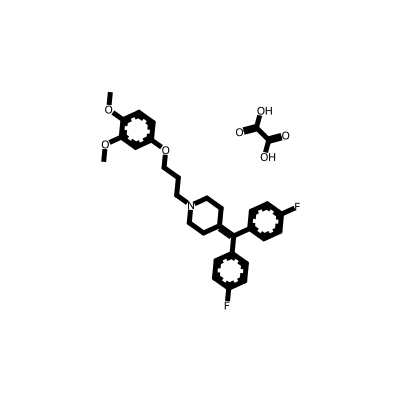 COc1ccc(OCCCN2CCC(=C(c3ccc(F)cc3)c3ccc(F)cc3)CC2)cc1OC.O=C(O)C(=O)O